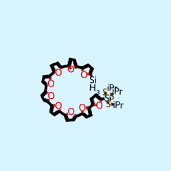 CC(C)S[Si](SC(C)C)(SC(C)C)c1ccc(-c2ccc(-c3ccc(-c4ccc(-c5ccc(-c6ccc(-c7ccc(-c8ccc(-c9ccc([SiH3])o9)o8)o7)o6)o5)o4)o3)o2)o1